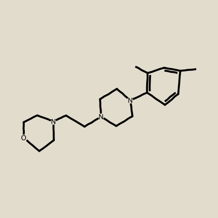 Cc1ccc(N2CCN(CCN3CCOCC3)CC2)c(C)c1